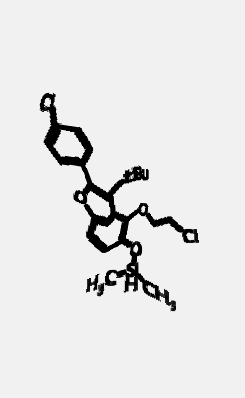 C[SiH](C)Oc1ccc2oc(-c3ccc(Cl)cc3)c(C(C)(C)C)c2c1OCCCl